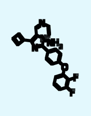 N[N+]12C=CN=CC1=C(C1=CC=C1)N=C2c1ccc(Oc2cccc(F)c2F)cc1